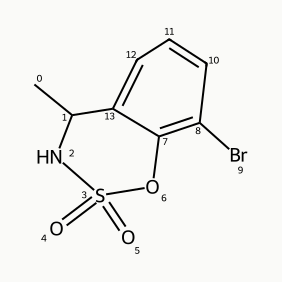 CC1NS(=O)(=O)Oc2c(Br)cccc21